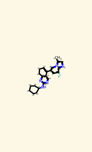 Cc1cnc2c(F)cc(C3=CCCc4nc(NC5CCCCC5)ncc43)cn12